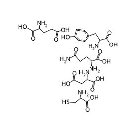 NC(=O)CCC(N)C(=O)O.NC(CC(=O)O)C(=O)O.NC(CCC(=O)O)C(=O)O.NC(CS)C(=O)O.NC(Cc1ccc(O)cc1)C(=O)O